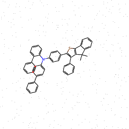 CC1(C)c2ccccc2-c2sc(-c3ccc(N(c4ccc(-c5ccccc5)cc4)c4ccccc4-c4ccccc4)cc3)c(-c3ccccc3)c21